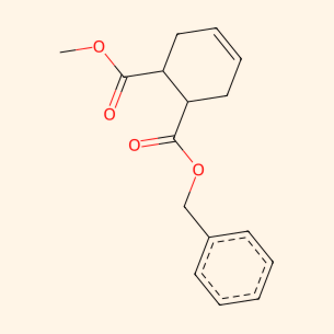 COC(=O)C1CC=CCC1C(=O)OCc1ccccc1